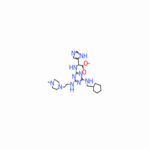 COC(=O)[C@@H](Nc1nc(NCCN2CCN(C)CC2)nc(NCC2CCCCC2)n1)c1cnc[nH]1